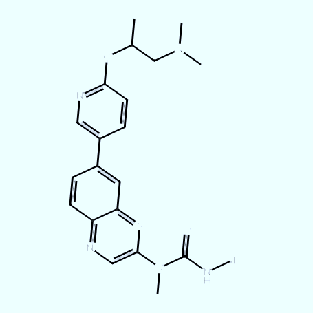 CC(C)NC(=O)N(C)c1cnc2ccc(-c3ccc(OC(C)CN(C)C)nc3)cc2n1